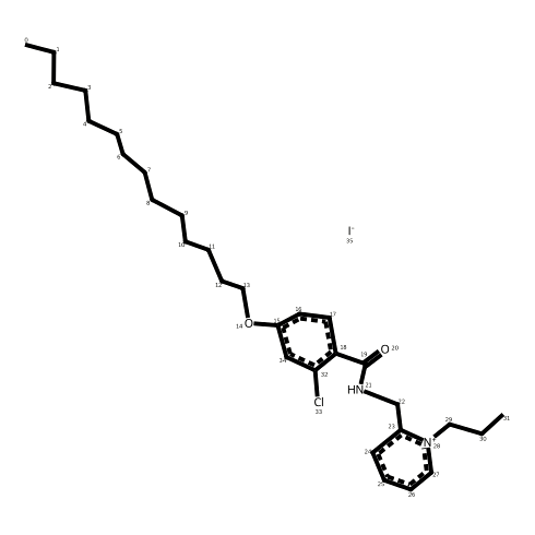 CCCCCCCCCCCCCCOc1ccc(C(=O)NCc2cccc[n+]2CCC)c(Cl)c1.[I-]